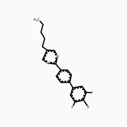 CCCCCc1cnc(-c2ccc(-c3cc(F)c(F)c(F)c3)cc2)nc1